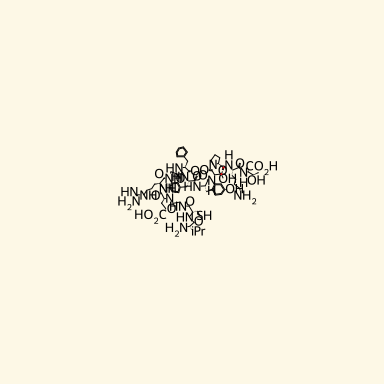 CC(C)[C@H](N)C(=O)N[C@@H](CS)C(=O)NCC(=O)N[C@@H](CCC(=O)O)C(=O)N[C@@H](CCCNC(=N)N)C(=O)NCC(=O)N[C@@H](Cc1ccccc1)C(=O)N[C@@H](Cc1ccccc1)C(=O)N[C@@H](Cc1ccc(O)cc1)C(=O)N[C@H](C(=O)N1CCC[C@H]1C(=O)N[C@@H](CCCCN)C(=O)N[C@H](C(=O)O)[C@@H](C)O)[C@@H](C)O